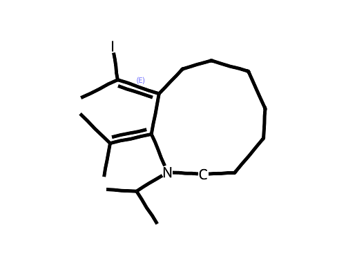 CC(C)=C1/C(=C(\C)I)CCCCCCCN1C(C)C